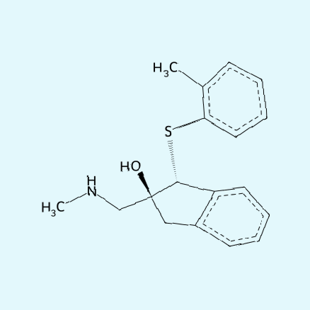 CNC[C@@]1(O)Cc2ccccc2[C@H]1Sc1ccccc1C